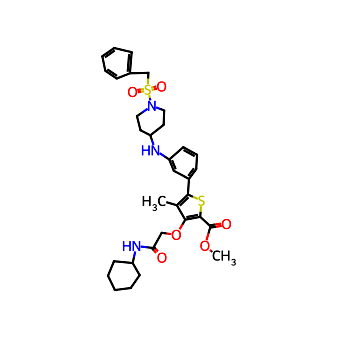 COC(=O)c1sc(-c2cccc(NC3CCN(S(=O)(=O)Cc4ccccc4)CC3)c2)c(C)c1OCC(=O)NC1CCCCC1